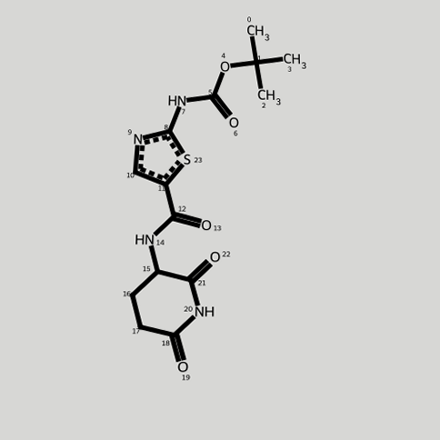 CC(C)(C)OC(=O)Nc1ncc(C(=O)NC2CCC(=O)NC2=O)s1